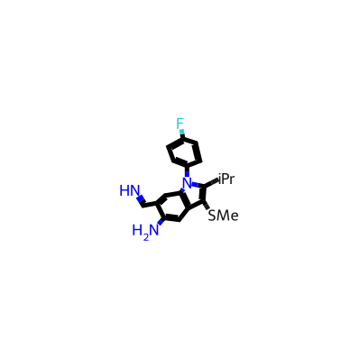 CSc1c(C(C)C)n(-c2ccc(F)cc2)c2cc(C=N)c(N)cc12